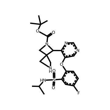 CC(C)NS(=O)(=O)c1cc(F)ccc1Oc1cncnc1C1N(C(=O)OC(C)(C)C)CC12CNC2